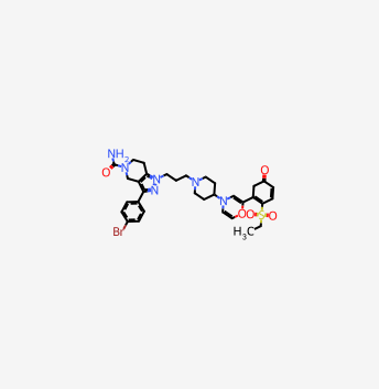 CCS(=O)(=O)C1=C(C2=CN(C3CCN(CCCn4nc(-c5ccc(Br)cc5)c5c4CCN(C(N)=O)C5)CC3)C=CO2)CC(=O)C=C1